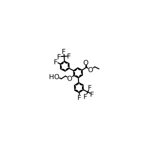 CCOC(=O)c1cc(-c2ccc(F)c(C(F)(F)F)c2)c(OCCO)c(-c2ccc(F)c(C(F)(F)F)c2)c1